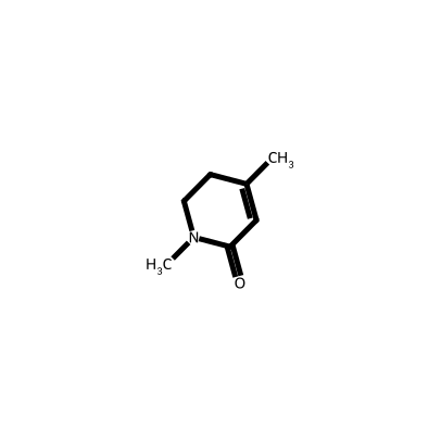 CC1=CC(=O)N(C)CC1